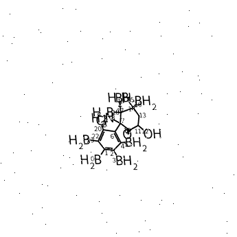 Bc1c(B)c(B)c(C2(N)C(=O)C(O)CC(B)(B)C2(B)B)c(Cl)c1B